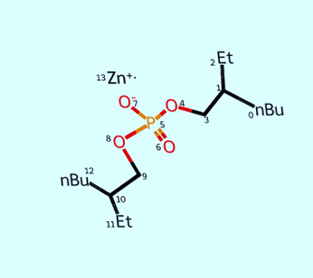 CCCCC(CC)COP(=O)([O-])OCC(CC)CCCC.[Zn+]